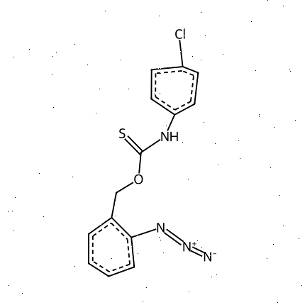 [N-]=[N+]=Nc1ccccc1COC(=S)Nc1ccc(Cl)cc1